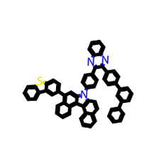 c1ccc(-c2cccc(-c3ccc(-c4nc5ccccc5nc4-c4ccc(-n5c6ccc7ccccc7c6c6c7ccccc7c(-c7ccc8sc9ccccc9c8c7)cc65)cc4)cc3)c2)cc1